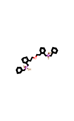 S=P(S)(Cc1ccccc1)Cc1ccccc1CCOCCc1ccccc1CP(=S)(S)Cc1ccccc1